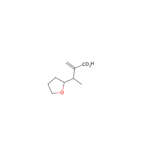 C=C(C(=O)O)C(C)C1CCCO1